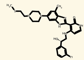 CSCCN1CCN(c2cc(C)c3nc(-c4c(NC[C@@H](O)c5cccc(Cl)c5)cc[nH]c4=O)[nH]c3c2)CC1